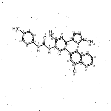 Cc1ccc(NC(=O)Nc2nc(-c3cc(Cl)c4ncccc4c3)c(-c3ccn(C)n3)nc2N)cc1